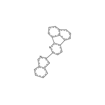 c1ccc2cc(-c3ccc4c(n3)-c3cccc5cccc-4c35)ncc2c1